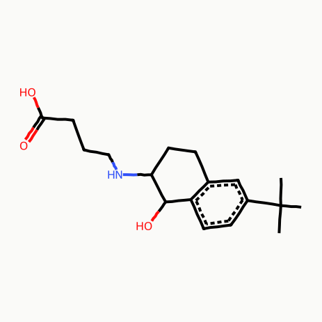 CC(C)(C)c1ccc2c(c1)CCC(NCCCC(=O)O)C2O